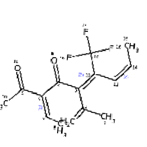 C=C(C)/C(C(=O)/C(=C\C)C(C)=O)=C(\C=C/C)C(F)(F)F